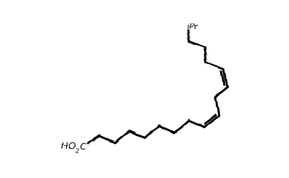 CC(C)CCC/C=C\C/C=C\CCCCCCCC(=O)O